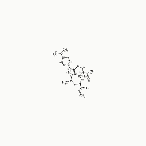 C=CC(=O)N1CC(C)c2nn(-c3ccc(C(C)C)cc3)c3c2[C@@H](C1)N(C(=O)O)CC3